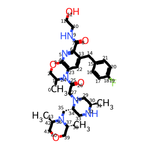 CC1COc2nc(C(=O)NCCO)c(Cc3ccc(F)cc3)cc2N1C(=O)CN1C[C@@H](C)NC[C@@H]1CN1[C@H](C)COC[C@H]1C